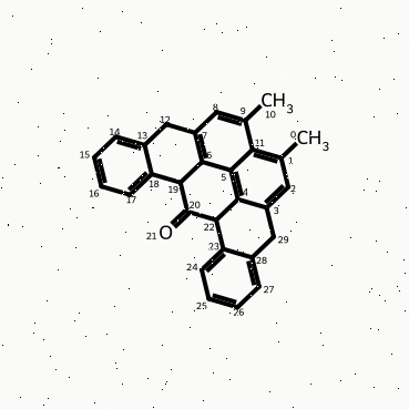 Cc1cc2c3c4c5c(cc(C)c14)Cc1ccccc1C5C(=O)C3c1ccccc1C2